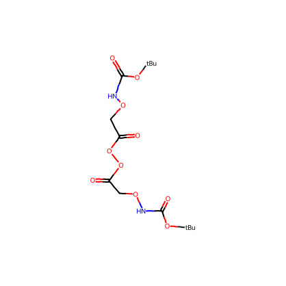 CC(C)(C)OC(=O)NOCC(=O)OOC(=O)CONC(=O)OC(C)(C)C